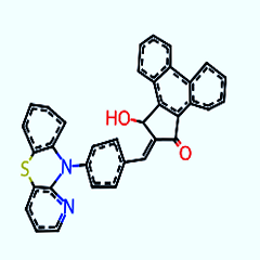 O=C1/C(=C/c2ccc(N3c4ccccc4Sc4cccnc43)cc2)C(O)c2c1c1ccccc1c1ccccc21